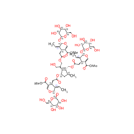 C/C=C1\[C@H](O[C@@H]2O[C@H](CO)[C@@H](O)[C@H](O)[C@H]2O)OC=C(C(=O)OC)[C@H]1CC(=O)OCC(CO)[C@H]1[C@H](COC(=O)C[C@@H]2C(C(=O)OC)=CO[C@@H](O[C@@H]3O[C@H](CO)[C@@H](O)[C@H](O)[C@H]3O)/C2=C\C)[C@@H](C)C[C@@H]1OC(=O)C[C@@H]1C(C(=O)OC)=CO[C@@H](O[C@@H]2O[C@H](CO)[C@@H](O)[C@H](O)[C@H]2O)/C1=C\C